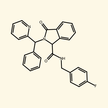 O=C(NCc1ccc(F)cc1)C1c2ccccc2C(=O)N1C(c1ccccc1)c1ccccn1